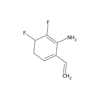 C=CC1=CCC(F)C(F)=C1N